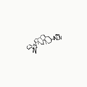 CC12CC[C@H](n3ccnc3)CC1=CCC1C2CC[C@]2(C)C(n3cnc4ccccc43)=CCC12